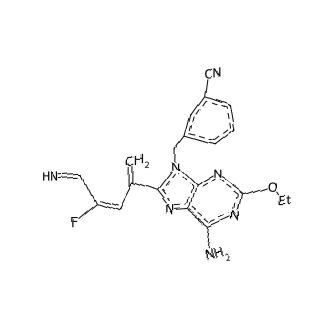 C=C(/C=C(/F)C=N)c1nc2c(N)nc(OCC)nc2n1Cc1cccc(C#N)c1